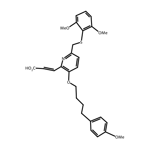 COc1ccc(CCCCOc2ccc(CSc3c(OC)cccc3OC)nc2/C=C/C(=O)O)cc1